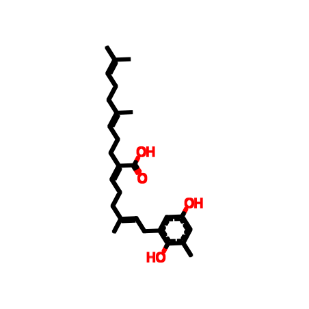 CC(C)=CCC/C(C)=C/CC/C(=C/CC/C(C)=C/Cc1cc(O)cc(C)c1O)C(=O)O